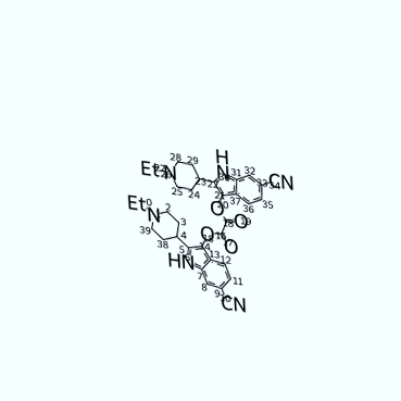 CCN1CCC(c2[nH]c3cc(C#N)ccc3c2OC(=O)C(=O)Oc2c(C3CCN(CC)CC3)[nH]c3cc(C#N)ccc23)CC1